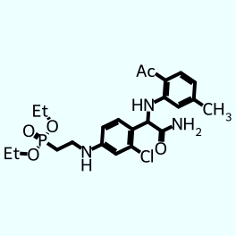 CCOP(=O)(CCNc1ccc(C(Nc2cc(C)ccc2C(C)=O)C(N)=O)c(Cl)c1)OCC